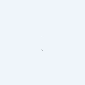 CNC(=O)C1(CCNC(=O)C2CCC(OC)CC2)CCCc2ccc(O)cc21